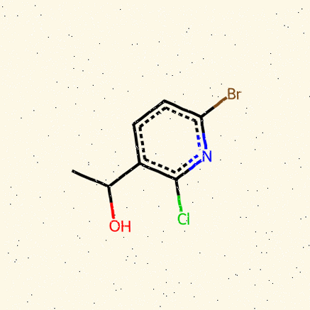 CC(O)c1ccc(Br)nc1Cl